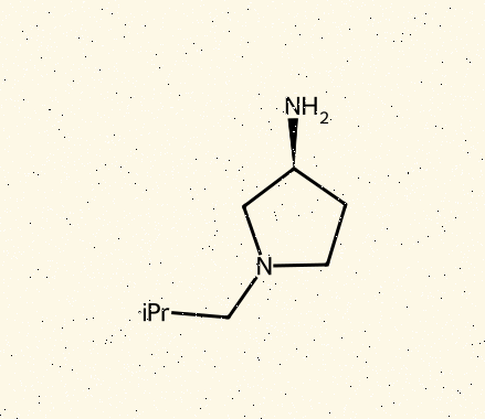 C[C](C)CN1CC[C@H](N)C1